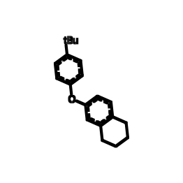 CC(C)(C)c1ccc(Oc2ccc3c(c2)CCCC3)cc1